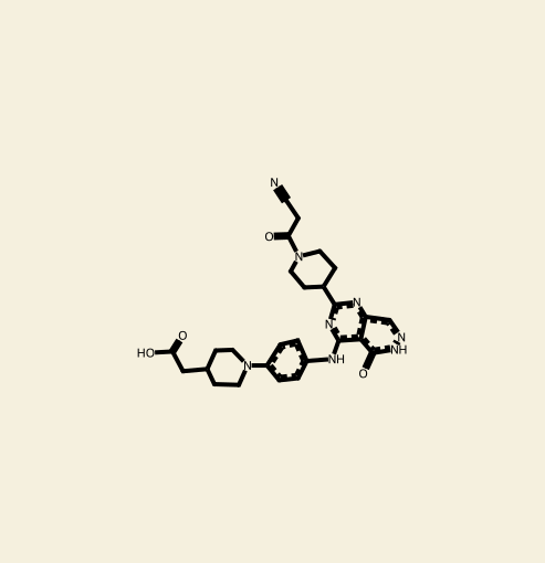 N#CCC(=O)N1CCC(c2nc(Nc3ccc(N4CCC(CC(=O)O)CC4)cc3)c3c(=O)[nH]ncc3n2)CC1